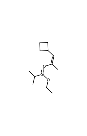 CCO[SiH](OC(C)=CC1CCC1)C(C)C